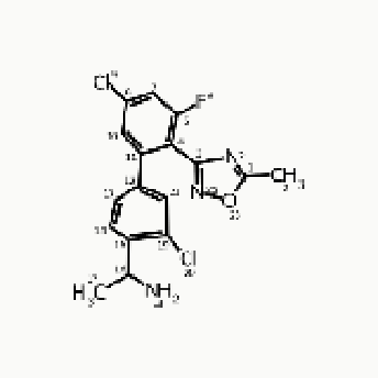 Cc1nc(-c2c(F)cc(Cl)cc2-c2ccc(C(C)N)c(Cl)c2)no1